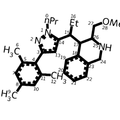 CCCn1nc(-c2c(C)cc(C)cc2C)cc1C(CC)C1c2ccccc2CNC1COC